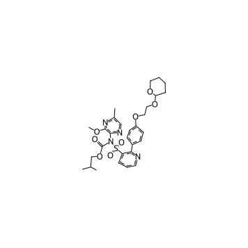 COc1nc(C)cnc1N(C(=O)OCC(C)C)S(=O)(=O)c1cccnc1-c1ccc(OCCOC2CCCCO2)cc1